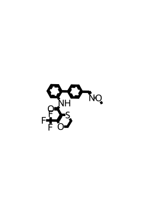 CON=Cc1ccc(-c2ccccc2NC(=O)C2=C(C(F)(F)F)OCCS2)cc1